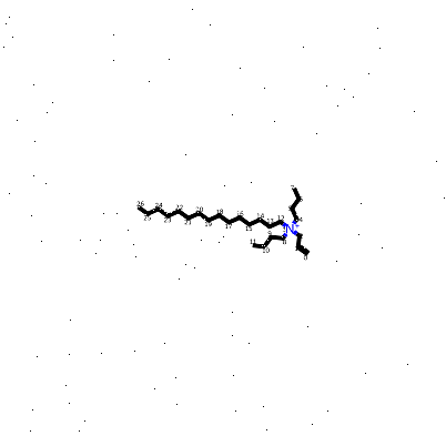 C=CC[N+](CCCC)(CCCC)CCCCCCCCCCCCCCC